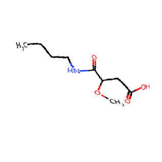 CCCCNC(=O)C(CC(=O)O)OC